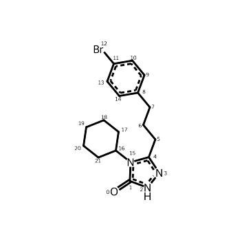 O=c1[nH]nc(CCCc2ccc(Br)cc2)n1C1CCCCC1